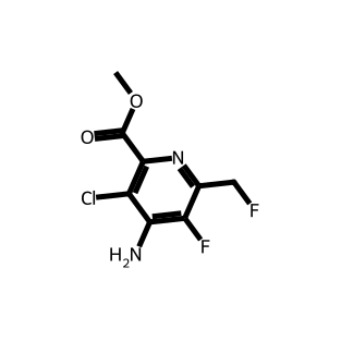 COC(=O)c1nc(CF)c(F)c(N)c1Cl